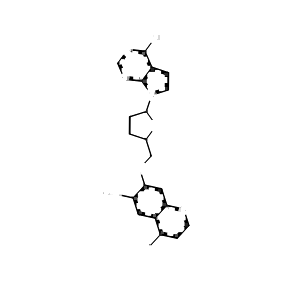 COc1cc2c(Cl)ccnc2cc1OCC1CCC(n2ccc3c(N)ncnc32)O1